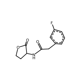 O=C(Cc1cccc(F)c1)NC1CCOC1=O